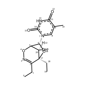 CCC1=NOC2[C@H](n3cc(C)c(=O)[nH]c3=O)O[C@]1(CC)[C@@H]2O